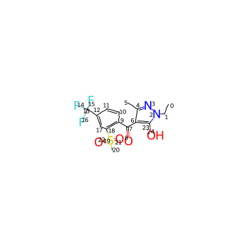 CCn1nc(C)c(C(=O)c2ccc(C(F)(F)F)cc2S(C)(=O)=O)c1O